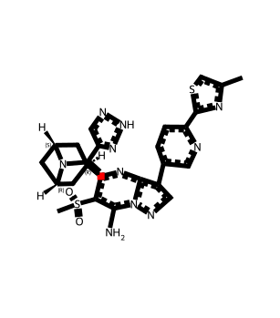 Cc1csc(-c2ccc(-c3cnn4c(N)c(S(C)(=O)=O)c([C@H]5C[C@@H]6C[C@H](C5)N6C(=O)c5cn[nH]n5)nc34)cn2)n1